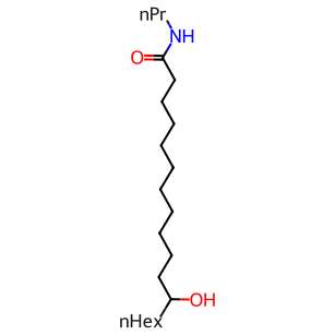 [CH2]CCNC(=O)CCCCCCCCCCC(O)CCCCCC